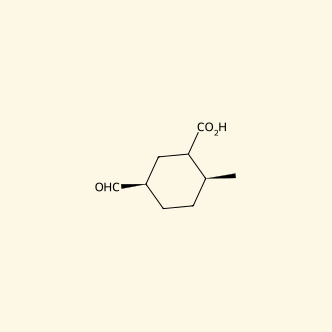 C[C@H]1CC[C@@H](C=O)CC1C(=O)O